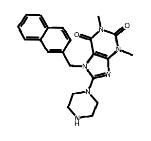 Cn1c(=O)c2c(nc(N3CCNCC3)n2Cc2ccc3ccccc3c2)n(C)c1=O